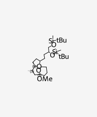 CO[C@@]1(C[C@H](C)[C@H]2CCC(CCC(CO[Si](C)(C)C(C)(C)C)O[Si](C)(C)C(C)(C)C)O2)CCCCO1